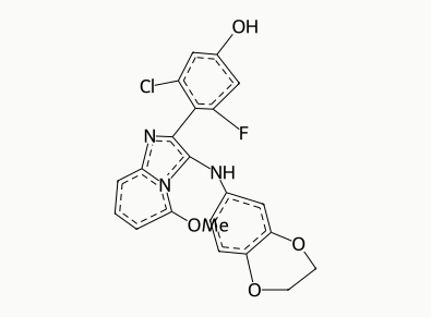 COc1cccc2nc(-c3c(F)cc(O)cc3Cl)c(Nc3ccc4c(c3)OCCO4)n12